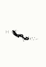 COc1ccc(C(=O)NCc2cccc(C3=CCN(Cc4ccc(N(C)C)cc4)CC3)c2)cc1